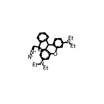 CCN(CC)c1ccc2c(c1)Oc1cc(N(CC)CC)ccc1C2c1ccccc1C(=O)C=[N+]=[N-]